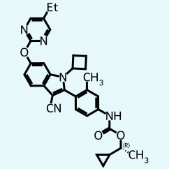 CCc1cnc(Oc2ccc3c(C#N)c(-c4ccc(NC(=O)O[C@H](C)C5CC5)cc4C)n(C4CCC4)c3c2)nc1